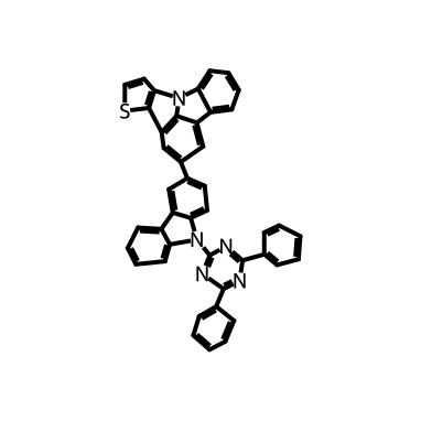 c1ccc(-c2nc(-c3ccccc3)nc(-n3c4ccccc4c4cc(-c5cc6c7ccccc7n7c8ccsc8c(c5)c67)ccc43)n2)cc1